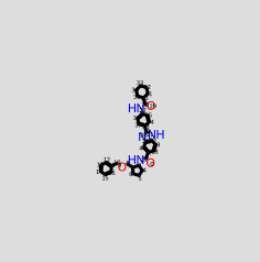 O=C(NC1CCCC1COCc1ccccc1)c1ccc2[nH]c(-c3ccc(NC(=O)C4CCCCC4)cc3)nc2c1